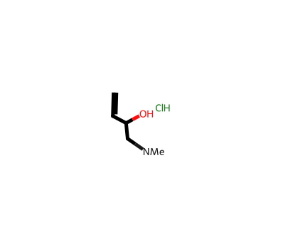 C=CC(O)CNC.Cl